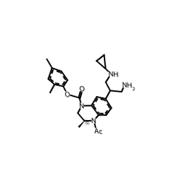 CC(=O)N1c2ccc(C(CN)CNC3CC3)cc2N(C(=O)Oc2ccc(C)cc2C)C[C@@H]1C